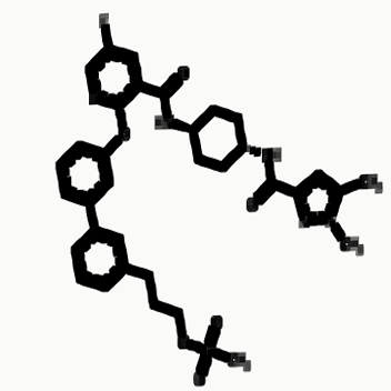 Cc1cc(C(=O)N[C@H]2CC[C@H](NC(=O)c3cc(F)cnc3Oc3cccc(-c4cccc(CCCOS(C)(=O)=O)c4)c3)CC2)nn1C